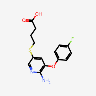 Nc1ncc(SCCCC(=O)O)cc1Oc1ccc(F)cc1